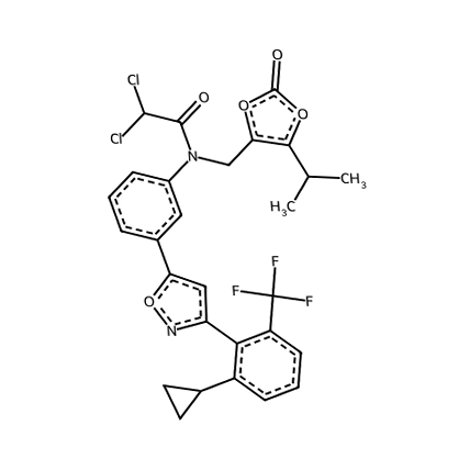 CC(C)c1oc(=O)oc1CN(C(=O)C(Cl)Cl)c1cccc(-c2cc(-c3c(C4CC4)cccc3C(F)(F)F)no2)c1